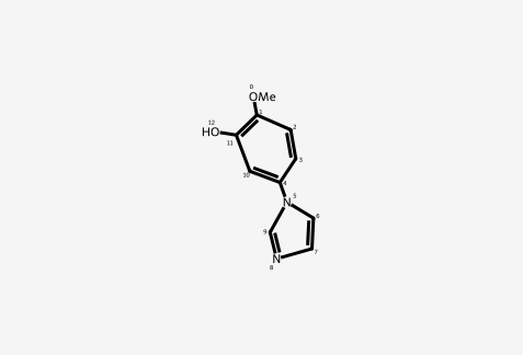 COc1ccc(-n2ccnc2)cc1O